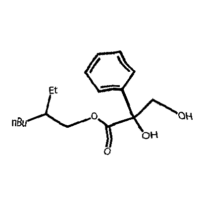 CCCCC(CC)COC(=O)C(O)(CO)c1ccccc1